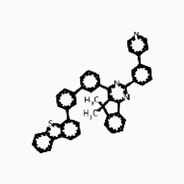 CC1(C)c2ccccc2-c2nc(-c3cccc(-c4ccncc4)c3)nc(-c3cccc(-c4cccc(-c5cccc6c5sc5ccccc56)c4)c3)c21